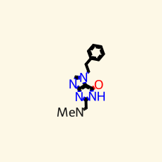 CNCc1nc2ncn(CCc3ccccc3)c2c(=O)[nH]1